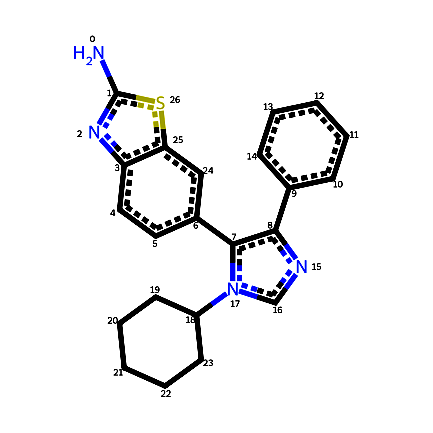 Nc1nc2ccc(-c3c(-c4ccccc4)ncn3C3CCCCC3)cc2s1